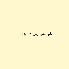 C=C(C)C(=O)OCC(O)COCCC[Si](C)(C)C(CC)(CC)O[Si](C)(C)C(C)(CC)O[Si](C)(C)CCCC